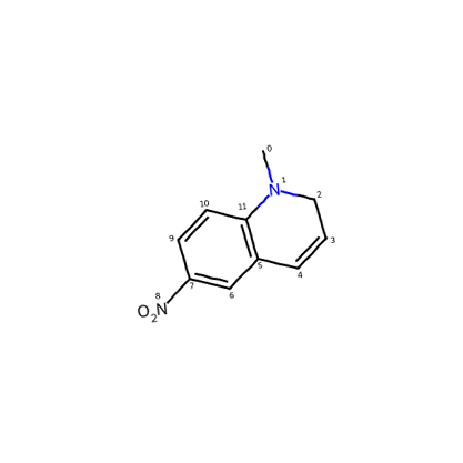 CN1CC=Cc2cc([N+](=O)[O-])ccc21